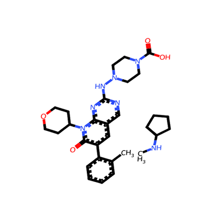 CNC1CCCC1.Cc1ccccc1-c1cc2cnc(NN3CCN(C(=O)O)CC3)nc2n(C2CCOCC2)c1=O